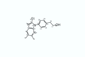 CCc1nc2cc(C)c(C)nc2n1-c1ccc(CCO)cc1